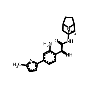 Cc1ccc(-c2ccc(C(=N)C(=O)NC3CC4CCC(C3)N4C)c(N)c2)s1